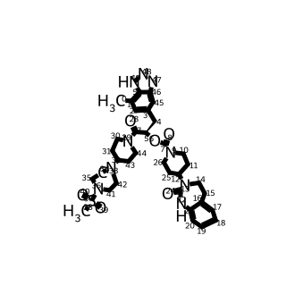 Cc1cc(C[C@@H](OC(=O)N2CCC(N3CCc4ccccc4NC3=O)CC2)C(=O)N2CCC(N3CCN(S(C)(=O)=O)CC3)CC2)cc2nn[nH]c12